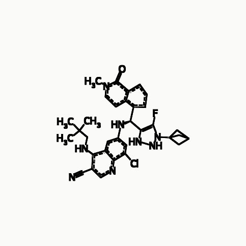 Cn1ccc2c([C@H](Nc3cc(Cl)c4ncc(C#N)c(NCC(C)(C)C)c4c3)C3=C(F)N(C45CC(C4)C5)NN3)cccc2c1=O